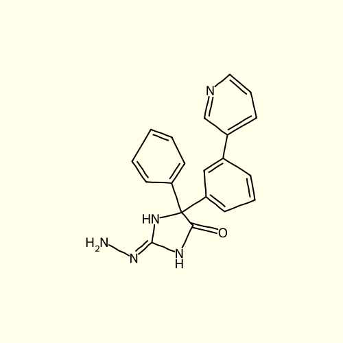 NN=C1NC(=O)C(c2ccccc2)(c2cccc(-c3cccnc3)c2)N1